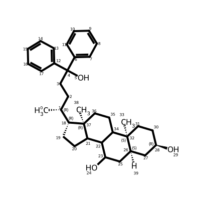 C[C@H](CCC(O)(c1ccccc1)c1ccccc1)[C@H]1CCC2C3C(O)C[C@@H]4C[C@H](O)CC[C@]4(C)C3CC[C@@]21C